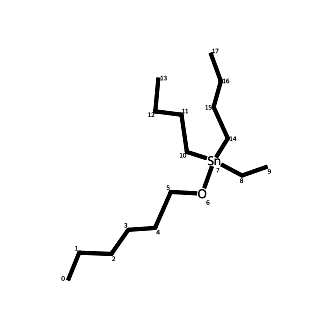 CCCCCC[O][Sn]([CH2]C)([CH2]CCC)[CH2]CCC